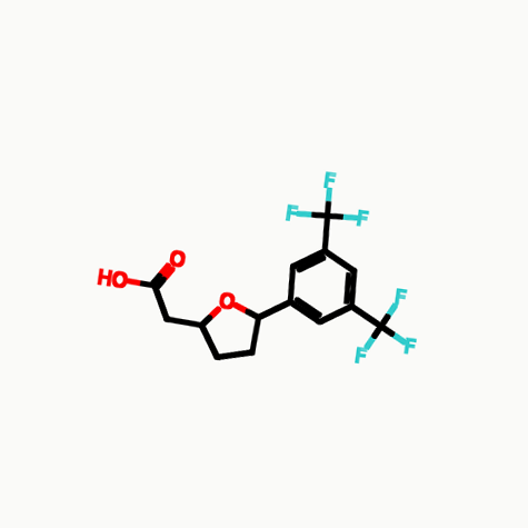 O=C(O)CC1CCC(c2cc(C(F)(F)F)cc(C(F)(F)F)c2)O1